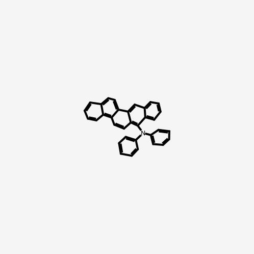 c1ccc(N(c2ccccc2)c2c3ccccc3cc3c2ccc2c4ccccc4ccc32)cc1